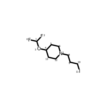 FC(F)OC1CCN(CCCI)CC1